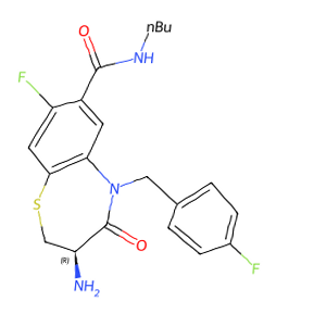 CCCCNC(=O)c1cc2c(cc1F)SC[C@H](N)C(=O)N2Cc1ccc(F)cc1